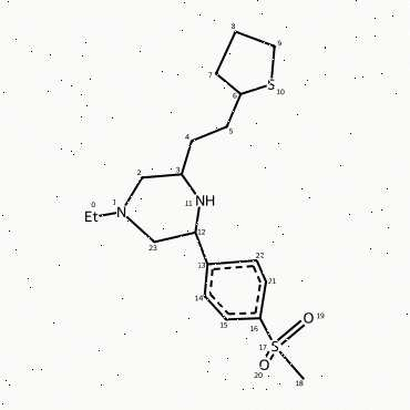 CCN1CC(CCC2CCCS2)NC(c2ccc(S(C)(=O)=O)cc2)C1